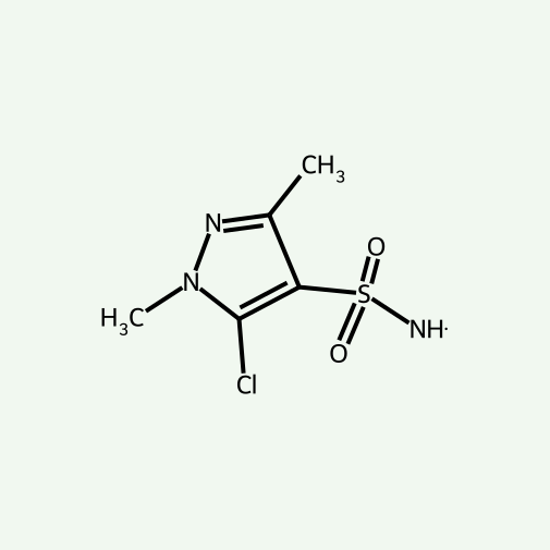 Cc1nn(C)c(Cl)c1S([NH])(=O)=O